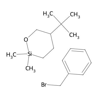 BrCc1ccccc1.CC(C)(C)C1CC[Si](C)(C)OC1